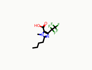 CCCCc1nc(C(F)(F)C(F)(F)F)c(C(=O)O)n1C